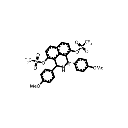 COc1ccc(C2N[C@@H](c3ccc(OC)cc3)c3c(OS(=O)(=O)C(F)(F)F)ccc4ccc(OS(=O)(=O)C(F)(F)F)c2c34)cc1